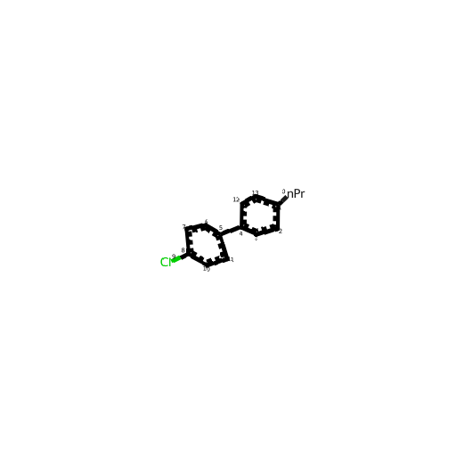 [CH2]CCc1ccc(-c2ccc(Cl)cc2)cc1